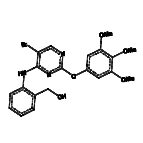 COc1cc(Oc2ncc(Br)c(Nc3ccccc3CO)n2)cc(OC)c1OC